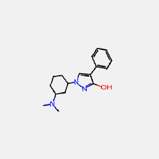 CN(C)C1CCCC(n2cc(-c3ccccc3)c(O)n2)C1